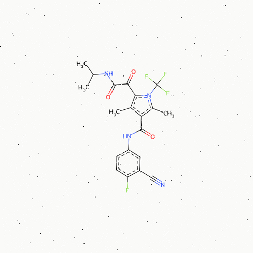 Cc1c(C(=O)Nc2ccc(F)c(C#N)c2)c(C)n(C(F)(F)F)c1C(=O)C(=O)NC(C)C